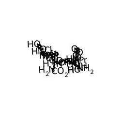 Cc1cccc2c(OC(=O)N(CCCC[C@H](N)C(=O)O)CCN(C)C(=O)OCc3ccc(NC(=O)[C@H](CCCNC(N)O)NC(=O)[C@@H](NC(=O)OCCN4C(=O)C=CC4=O)C(C)C)cc3)cc3c(c12)[C@H](CCl)CN3C(=O)c1cc2cc(NC(=O)c3ccc(O)cc3)cnc2[nH]1